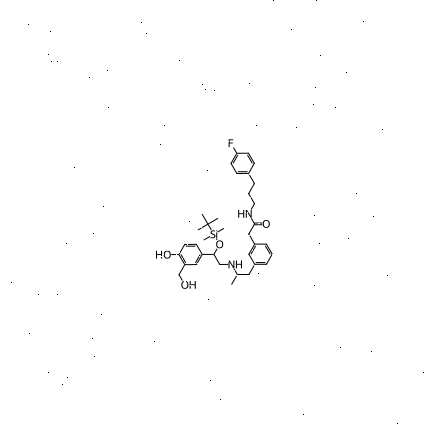 CC(Cc1cccc(CC(=O)NCCCc2ccc(F)cc2)c1)NCC(O[Si](C)(C)C(C)(C)C)c1ccc(O)c(CO)c1